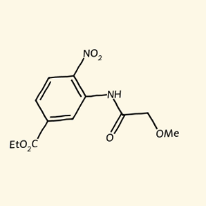 CCOC(=O)c1ccc([N+](=O)[O-])c(NC(=O)COC)c1